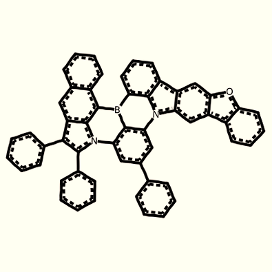 c1ccc(-c2cc3c4c(c2)-n2c5cc6c(cc5c5cccc(c52)B4c2c4ccccc4cc4c(-c5ccccc5)c(-c5ccccc5)n-3c24)oc2ccccc26)cc1